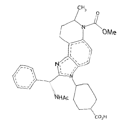 COC(=O)N1c2ccc3c(nc([C@H](NC(C)=O)c4ccccc4)n3C3CCC(C(=O)O)CC3)c2CCC1C